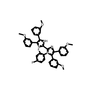 COc1cccc(-c2nc(-c3nc(-c4cccc(OC)c4)c(-c4cccc(OC)c4)n3-c3ccc(F)cc3F)[nH]c2-c2cccc(OC)c2)c1